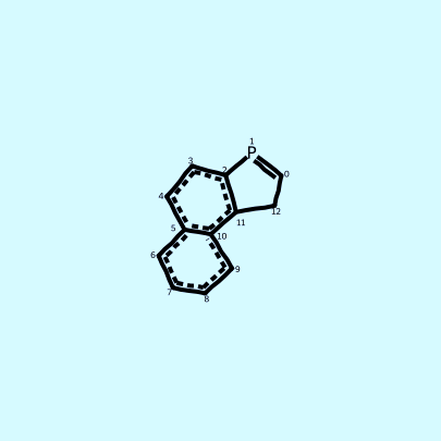 C1=Pc2ccc3ccccc3c2C1